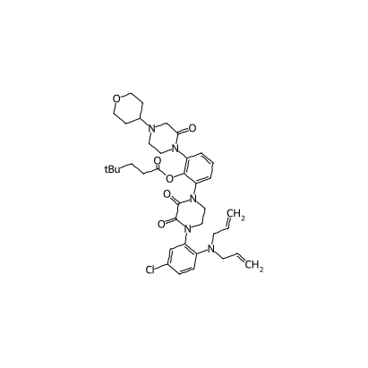 C=CCN(CC=C)c1ccc(Cl)cc1N1CCN(c2cccc(N3CCN(C4CCOCC4)CC3=O)c2OC(=O)CCC(C)(C)C)C(=O)C1=O